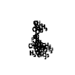 CCOC(=O)C(OC[C@@H]1C[C@H](F)[C@H](n2cnc3c(N(C(=O)OC(C)(C)C)C(=O)OC(C)(C)C)nc(Cl)nc32)O1)C(C)=O